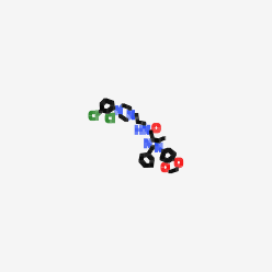 Cc1c(C(=O)NCCCN2CCN(c3cccc(Cl)c3Cl)CC2)nc(-c2ccccc2)n1-c1ccc2c(c1)OCCO2